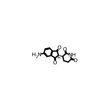 Nc1ccc2c(c1)C(=O)[C@H](C1CCC(=O)NC1=O)C2=O